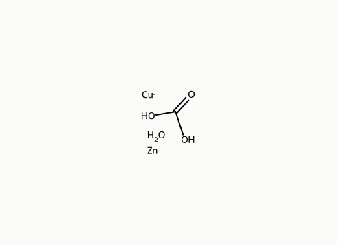 O.O=C(O)O.[Cu].[Zn]